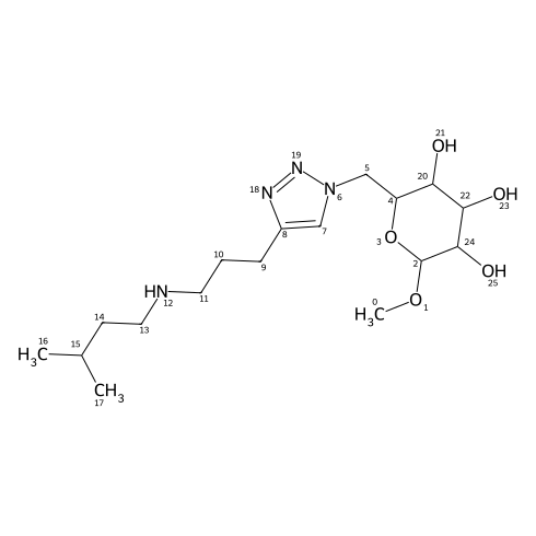 COC1OC(Cn2cc(CCCNCCC(C)C)nn2)C(O)C(O)C1O